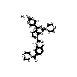 Cc1ccc(C(=O)N2CCOCC2)cc1NC(=O)N1CCc2c(-c3cnc(N)nc3)nc(N3CCOCC3)nc21